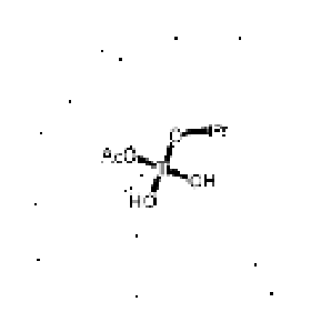 CC(=O)[O][Ti]([OH])([OH])[O]C(C)C